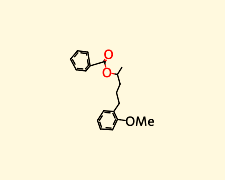 COc1ccccc1CCCC(C)OC(=O)c1ccccc1